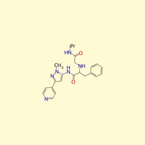 CC(C)NC(=O)CNC(Cc1ccccc1)C(=O)Nc1cc(-c2ccncc2)nn1C